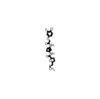 CSCC1CCC(C(=O)NC23CC(C2)C(NC(=O)COc2ccc(Cl)c(F)c2)C3)O1